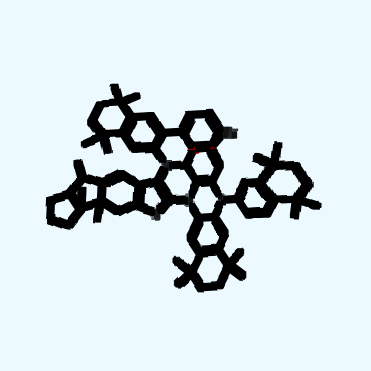 CC1C2=Cc3c(sc4c3N(c3cc5c(cc3-c3ccccc3)C(C)(C)CCC5(C)C)C3CC(C(C)(C)C)=CC5=C3B4c3cc4c(cc3N5c3ccc5c(c3)C(C)(C)CCC5(C)C)C(C)(C)CCC4(C)C)CC2(C)C2(C)CCCC12